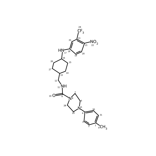 Cc1ccc(N2CCN(C(=O)NCC3CCC(Nc4ccc([N+](=O)[O-])c(C(F)(F)F)c4)CC3)CC2)cc1